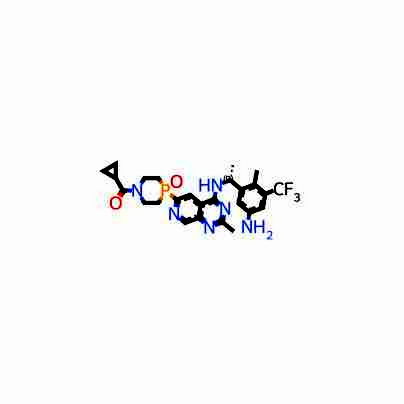 Cc1nc(N[C@H](C)c2cc(N)cc(C(F)(F)F)c2C)c2cc(P3(=O)CCN(C(=O)C4CC4)CC3)ncc2n1